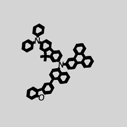 CC1(C)c2cc(N(c3ccccc3)c3ccccc3)ccc2-c2ccc(N(c3ccc4c5ccccc5c5ccccc5c4c3)c3ccc(-c4ccc5oc6ccccc6c5c4)c4ccccc34)cc21